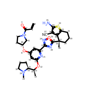 C=CC(=O)N1CC[C@@H](Oc2cc(O[C@@H](C)[C@@H]3CCCN3C)nc(-c3noc([C@@]4(C)CCCc5sc(N)c(C#N)c54)n3)c2)C1